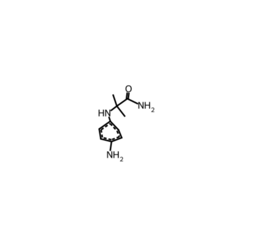 CC(C)(Nc1ccc(N)cc1)C(N)=O